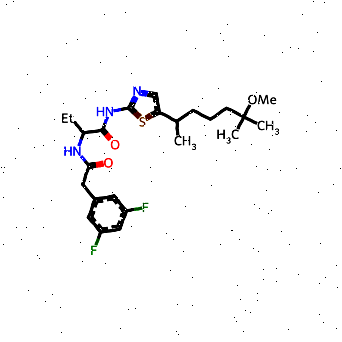 CCC(NC(=O)Cc1cc(F)cc(F)c1)C(=O)Nc1ncc(C(C)CCCC(C)(C)OC)s1